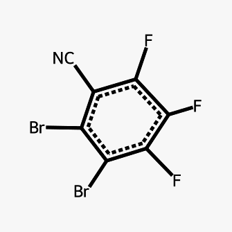 N#Cc1c(F)c(F)c(F)c(Br)c1Br